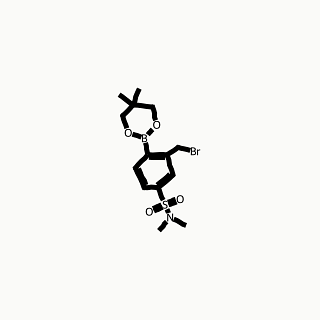 CN(C)S(=O)(=O)c1ccc(B2OCC(C)(C)CO2)c(CBr)c1